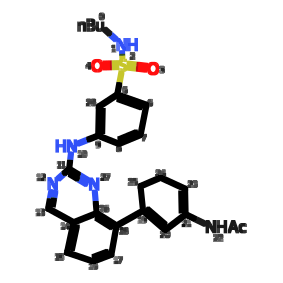 CCCCNS(=O)(=O)c1cccc(Nc2ncc3cccc(C4=CC(NC(C)=O)=CCC4)c3n2)c1